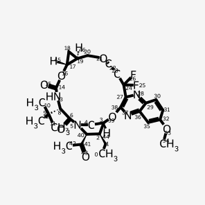 CC[C@@H]1[C@@H]2CN(C(=O)[C@H](C(C)(C)C)NC(=O)O[C@@H]3C[C@H]3COCCC(F)(F)c3nc4ccc(OC)cc4nc3O2)[C@@H]1C(C)=O